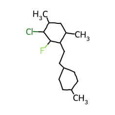 CC1CCC(CCC2C(C)CC(C)C(Cl)C2F)CC1